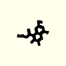 CC(=O)OCC(=O)c1c(C)c(C)nc2c(F)cc(C(C)(C)C)cc12